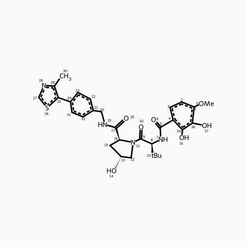 COc1ccc(C(=O)N[C@H](C(=O)N2C[C@H](O)C[C@H]2C(=O)NCc2ccc(-c3scnc3C)cc2)C(C)(C)C)c(O)c1O